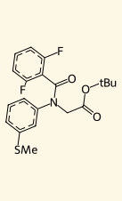 CSc1cccc(N(CC(=O)OC(C)(C)C)C(=O)c2c(F)cccc2F)c1